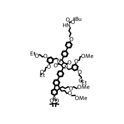 CCOCCOc1cc(CN2C(=O)C3C(C(=O)N(Cc4cc(OCCOCC)cc(OCCOCC)c4)C3c3ccc(-c4ccc(OCCCCNC(=O)OC(C)(C)C)cc4)cc3)C2c2ccc(-c3ccc4c(c3)C(CCCOCCOC)(CCCOCCOC)c3cc(B5OC(C)(C)C(C)(C)O5)ccc3-4)cc2)cc(OCCOC)c1